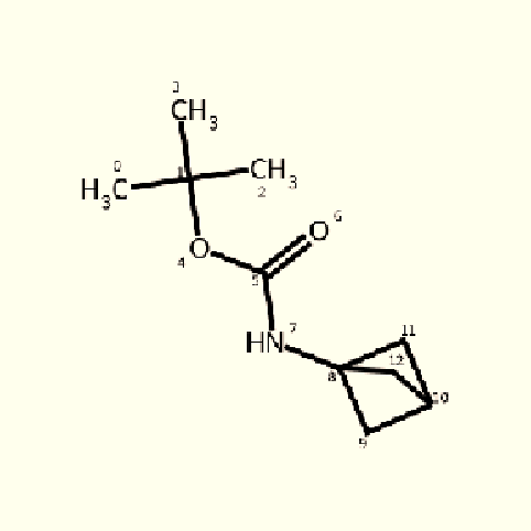 CC(C)(C)OC(=O)NC12CC(C1)C2